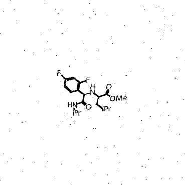 COC(=O)[C@@H](CC(C)C)N[C@@H](C(=O)NC(C)C)c1ccc(F)cc1F